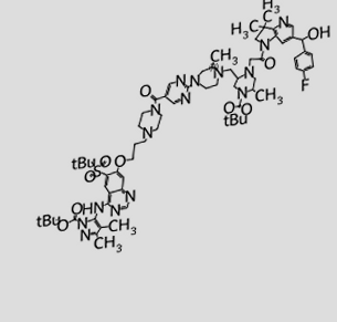 Cc1nn(C(=O)OC(C)(C)C)c(Nc2ncnc3cc(OCCCN4CCN(C(=O)c5cnc(N6CCN(CC7CN(C(=O)OC(C)(C)C)C(C)CN7CC(=O)N7CC(C)(C)c8ncc(C(O)c9ccc(F)cc9)cc87)[C@H](C)C6)nc5)CC4)c(S(=O)(=O)C(C)(C)C)cc23)c1C